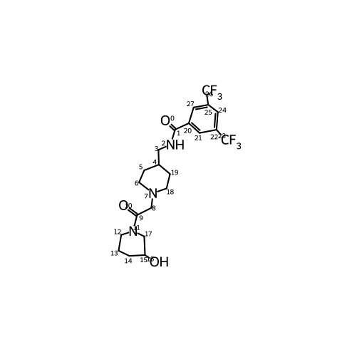 O=C(NCC1CCN(CC(=O)N2CCCC(O)C2)CC1)c1cc(C(F)(F)F)cc(C(F)(F)F)c1